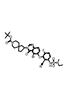 CCN(C)S(=O)(=O)Nc1ccc(F)c(Oc2ccc3ncn(C4CCC5(CCN(C(=O)OC(C)(C)C)CC5)C4)c(=O)c3c2Br)c1C#N